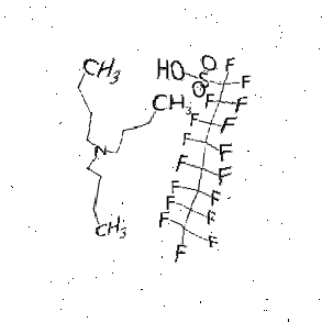 CCCCN(CCCC)CCCC.O=S(=O)(O)C(F)(F)C(F)(F)C(F)(F)C(F)(F)C(F)(F)C(F)(F)C(F)(F)C(F)(F)F